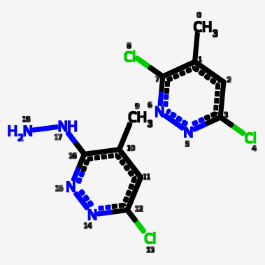 Cc1cc(Cl)nnc1Cl.Cc1cc(Cl)nnc1NN